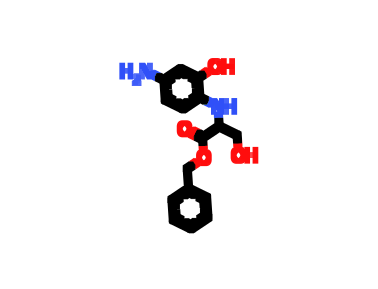 Nc1ccc(NC(CO)C(=O)OCc2ccccc2)c(O)c1